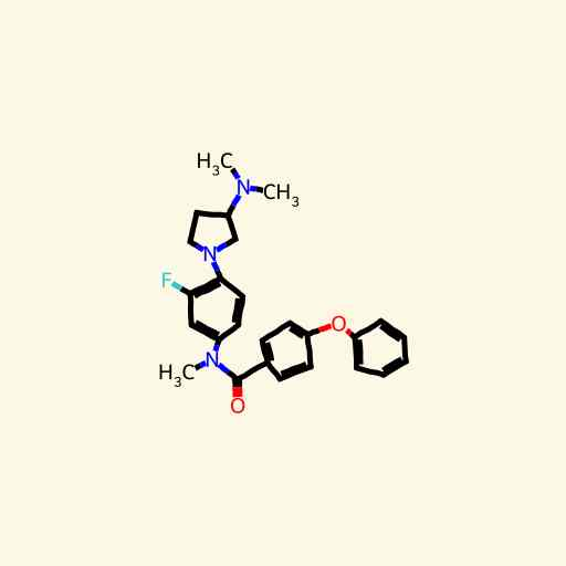 CN(C(=O)c1ccc(Oc2ccccc2)cc1)c1ccc(N2CCC(N(C)C)C2)c(F)c1